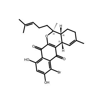 CC(C)=CCC[C@]1(C)OC2=C(C(=O)c3c(Br)c(O)cc(O)c3C2=O)[C@H]2C=C(C)CC[C@H]21